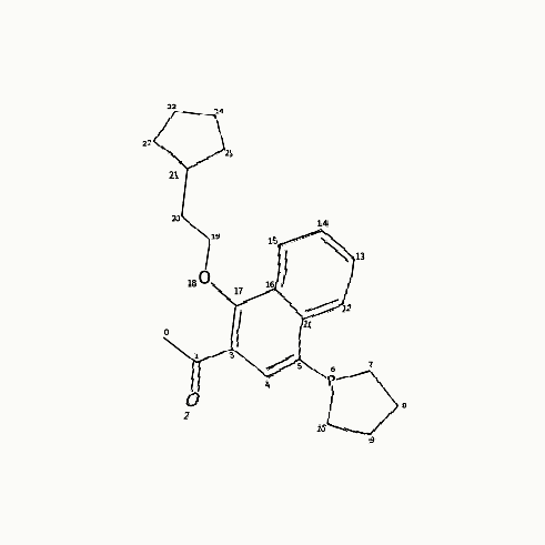 CC(=O)c1cc(P2CCCC2)c2ccccc2c1OCCC1CCCC1